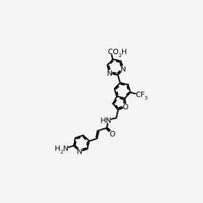 Nc1ccc(/C=C/C(=O)NCc2cc3cc(-c4ncc(C(=O)O)cn4)cc(C(F)(F)F)c3o2)cn1